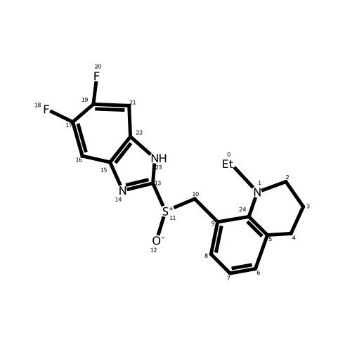 CCN1CCCc2cccc(C[S+]([O-])c3nc4cc(F)c(F)cc4[nH]3)c21